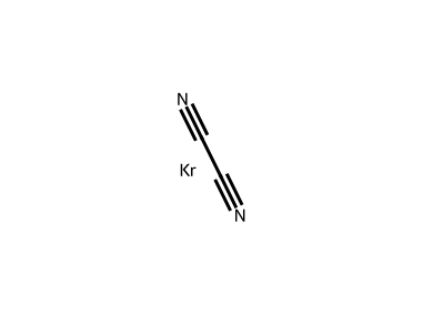 N#CC#N.[Kr]